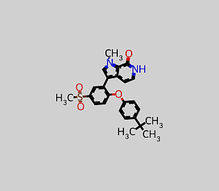 Cn1cc(-c2cc(S(C)(=O)=O)ccc2Oc2ccc(C(C)(C)C)cc2)c2cc[nH]c(=O)c21